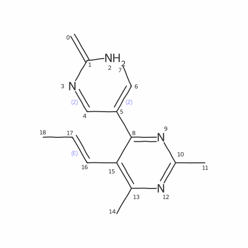 C=C(N)/N=C\C(=C/C)c1nc(C)nc(C)c1/C=C/C